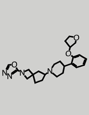 c1ccc(C2CCN(C3CCC4(C3)CN(c3nnco3)C4)CC2)c(OC2CCOC2)c1